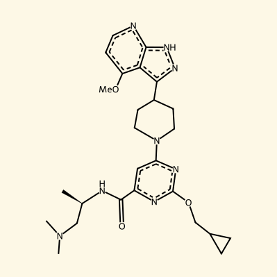 COc1ccnc2[nH]nc(C3CCN(c4cc(C(=O)N[C@H](C)CN(C)C)nc(OCC5CC5)n4)CC3)c12